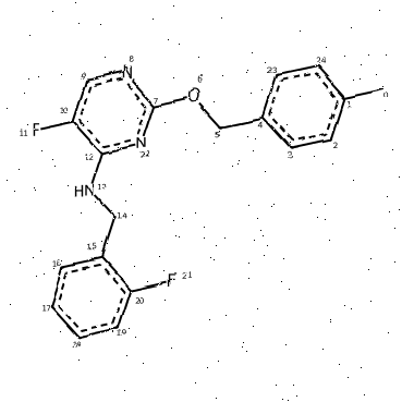 Cc1ccc(COc2ncc(F)c(NCc3ccccc3F)n2)cc1